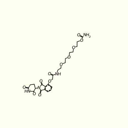 NC(=O)OCCOCCOCCOCCNC(=O)COc1cccc2c1C(=O)N(C1CCC(=O)NC1=O)C2=O